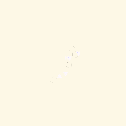 Fc1ccc(N2CCN(Cc3ccc(Nc4ccnc5cc(Cl)ccc45)cc3)CC2)c(F)c1